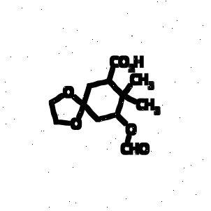 CC1(C)C(OC=O)CC2(CC1C(=O)O)OCCO2